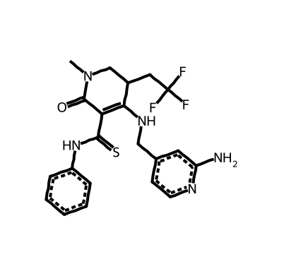 CN1CC(CC(F)(F)F)C(NCc2ccnc(N)c2)=C(C(=S)Nc2ccccc2)C1=O